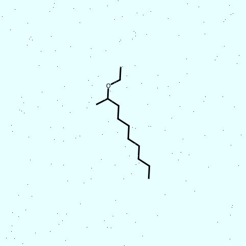 [CH2]COC(C)CCCCCCCC